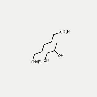 CC(O)CO.CCCCCCCCCCCCC(=O)O